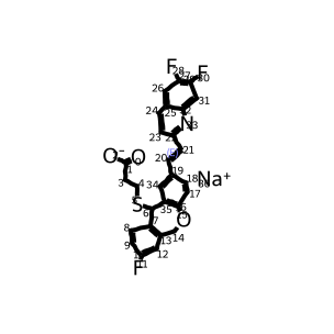 O=C([O-])CCSC1c2ccc(F)cc2COc2ccc(/C=C/c3ccc4cc(F)c(F)cc4n3)cc21.[Na+]